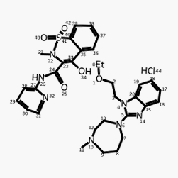 CCOCCn1c(N2CCCN(C)CC2)nc2ccccc21.CN1C(C(=O)Nc2ccccn2)=C(O)c2ccccc2S1(=O)=O.Cl